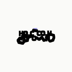 O=C(O)/C=C\C(=O)O.c1ccn2nc(COCCCCN3CCCCCC3)cc2c1